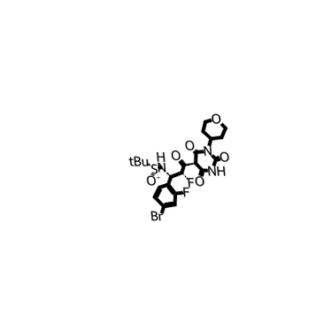 CC(C)(C)[S@@+]([O-])N[C@@H](c1ccc(Br)cc1F)[C@@H](F)C(=O)[C@@H]1C(=O)NC(=O)N(C2CCOCC2)C1=O